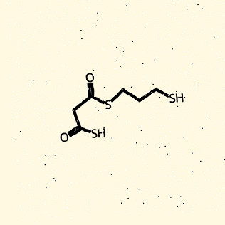 O=C(S)CC(=O)SCCCS